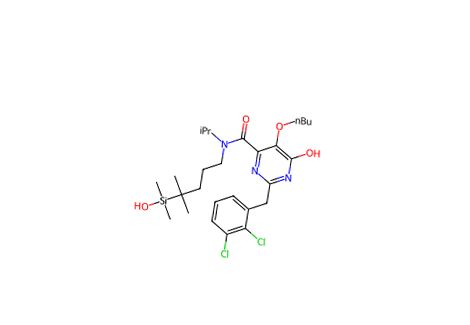 CCCCOc1c(O)nc(Cc2cccc(Cl)c2Cl)nc1C(=O)N(CCCC(C)(C)[Si](C)(C)O)C(C)C